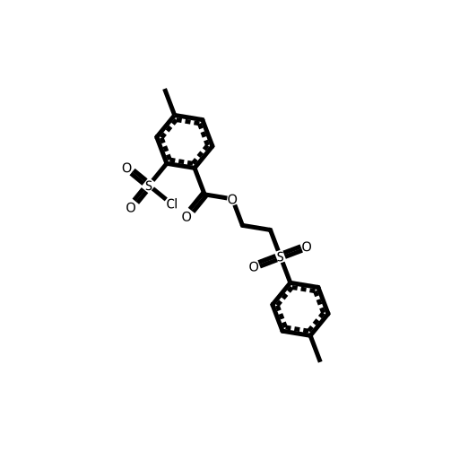 Cc1ccc(S(=O)(=O)CCOC(=O)c2ccc(C)cc2S(=O)(=O)Cl)cc1